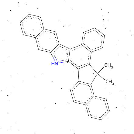 CC1(C)c2c(ccc3ccccc23)-c2c1c1ccccc1c1c2[nH]c2cc3ccccc3cc21